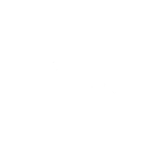 CC(CC1CCC(OC(=O)C(C)(C)C)C1)C(=O)Oc1ccccc1